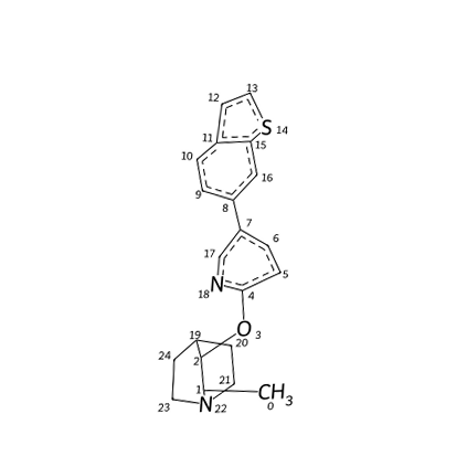 CC1C(Oc2ccc(-c3ccc4ccsc4c3)cn2)C2CCN1CC2